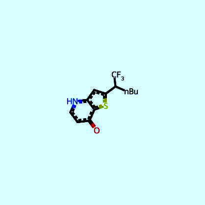 CCCCC(c1cc2[nH]ccc(=O)c2s1)C(F)(F)F